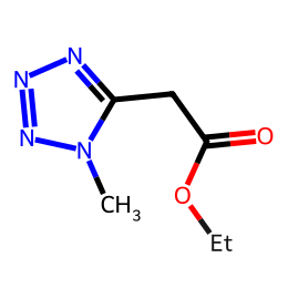 CCOC(=O)Cc1nnnn1C